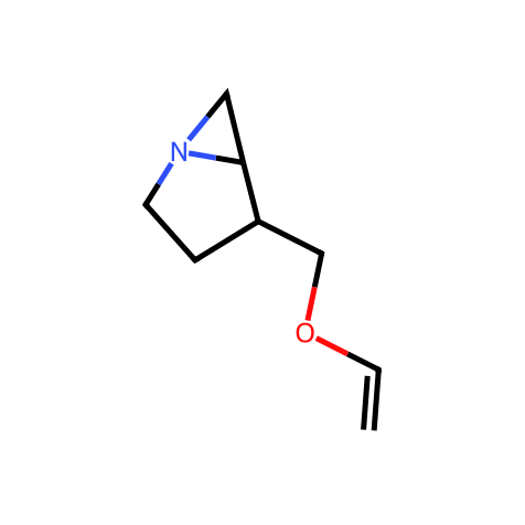 C=COCC1CCN2CC12